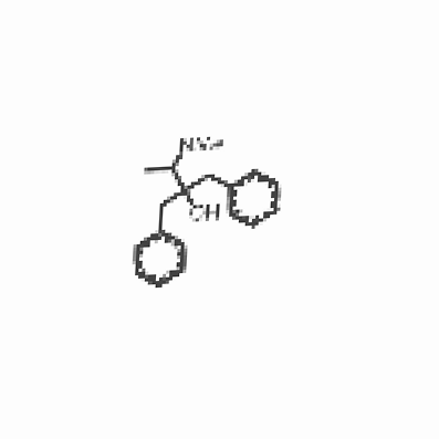 CNC(C)C(O)(Cc1ccccc1)Cc1ccccc1